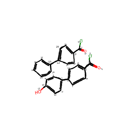 O=C(Cl)c1ccc(-c2ccc(O)cc2)cc1.O=C(Cl)c1ccc(-c2ccccc2)cc1